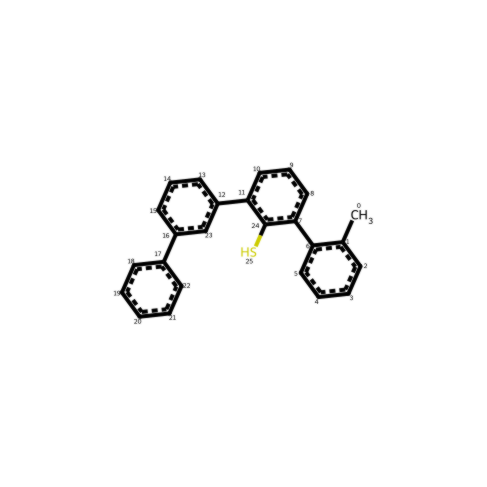 Cc1ccccc1-c1cccc(-c2cccc(-c3ccccc3)c2)c1S